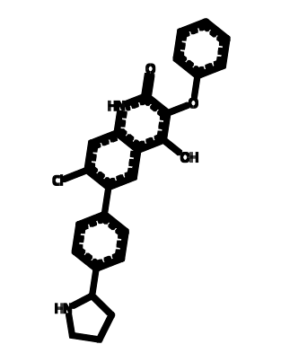 O=c1[nH]c2cc(Cl)c(-c3ccc(C4CCCN4)cc3)cc2c(O)c1Oc1ccccc1